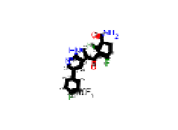 NC(=O)c1ccc(F)c(C(=O)c2c[nH]c3ncc(-c4ccc(F)c(C(F)(F)F)c4)cc23)c1F